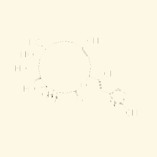 CC1=CCC(/C(C)=C/c2csc(C)n2)OC(=O)CS(=O)(=O)C(C)(C)C(=O)[C@H](C)[C@H](O)[C@@H](C)CCC1